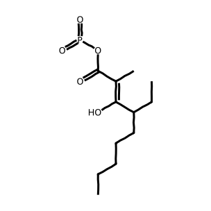 CCCCCC(CC)C(O)=C(C)C(=O)OP(=O)=O